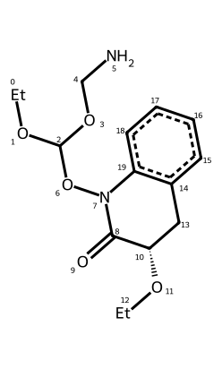 CCOC(OCN)ON1C(=O)[C@@H](OCC)Cc2ccccc21